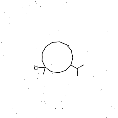 CC(C)C1CCCCCCCCC(C)(Cl)CCC1